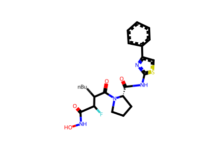 CCCCC(C(=O)N1CCC[C@H]1C(=O)Nc1nc(-c2ccccc2)cs1)C(F)C(=O)NO